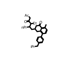 CCCC(CC1CC(=O)c2c(C)ccc(-c3ccc(CC(C)C)cc3)c2C1)C(CC)C(=O)CC(C)=O